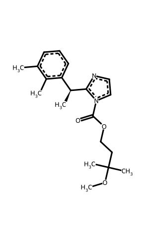 COC(C)(C)CCOC(=O)n1ccnc1[C@@H](C)c1cccc(C)c1C